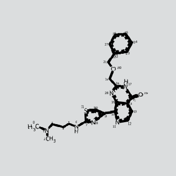 CN(C)CCCNc1nc(-c2nccc3c(=O)[nH]c(COCc4ccccc4)nc23)cs1